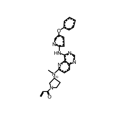 C=CC(=O)N1CC[C@H](N(C)c2ccc3ncnc(Nc4ccc(Oc5ccccc5)cn4)c3n2)C1